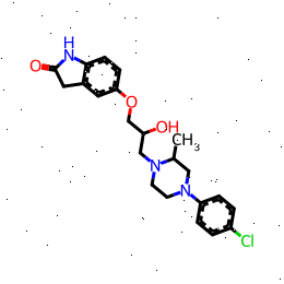 CC1CN(c2ccc(Cl)cc2)CCN1CC(O)COc1ccc2c(c1)CC(=O)N2